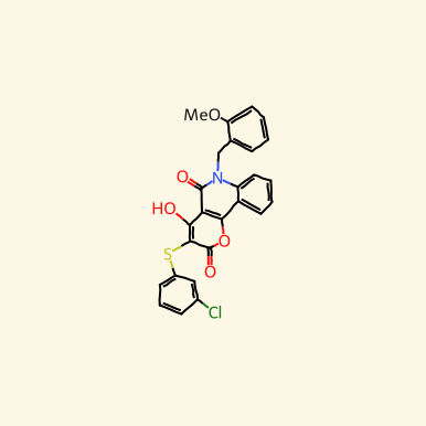 COc1ccccc1Cn1c(=O)c2c(O)c(Sc3cccc(Cl)c3)c(=O)oc2c2ccccc21